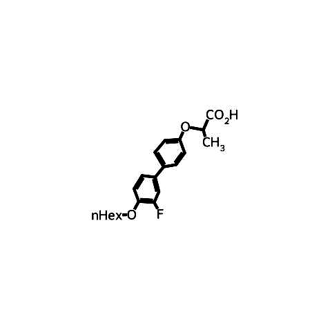 CCCCCCOc1ccc(-c2ccc(OC(C)C(=O)O)cc2)cc1F